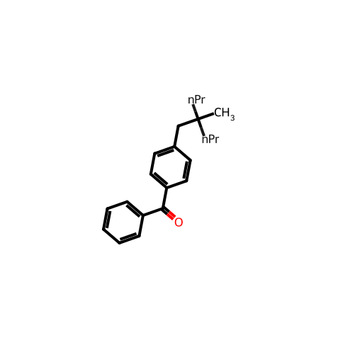 CCCC(C)(CCC)Cc1ccc(C(=O)c2ccccc2)cc1